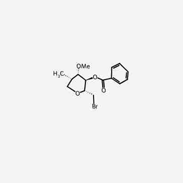 CO[C@@H]1[C@@H](OC(=O)c2ccccc2)[C@H](CBr)OC[C@@H]1C